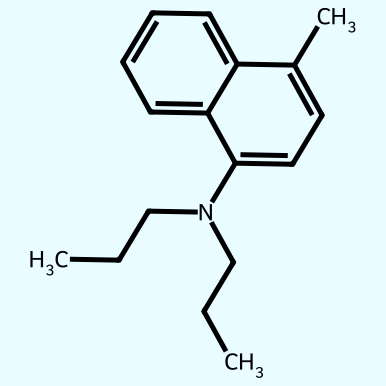 CCCN(CCC)c1ccc(C)c2ccccc12